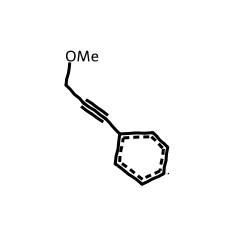 COCC#Cc1cc[c]cc1